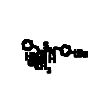 CC(C)(C)c1ccc(CNC(=S)NC(Cc2ccccc2)NS(C)(=O)=O)cc1